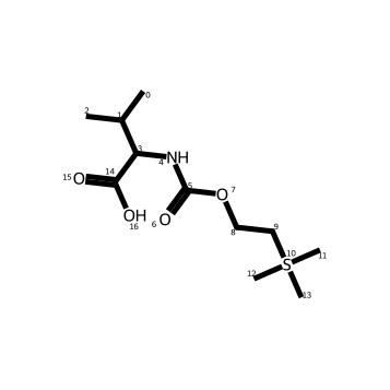 CC(C)C(NC(=O)OCCS(C)(C)C)C(=O)O